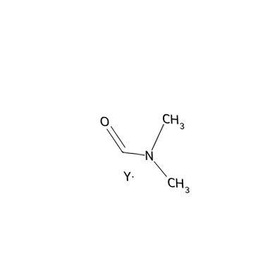 CN(C)C=O.[Y]